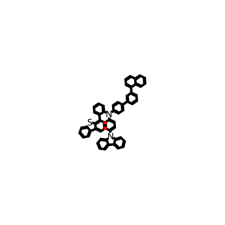 c1cc(-c2ccc(N(c3ccc(-n4c5ccccc5c5ccccc54)cc3)c3ccccc3-c3cccc4c3sc3ccccc34)cc2)cc(-c2cccc3ccccc23)c1